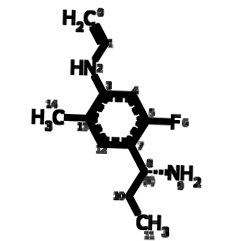 C=CNc1cc(F)c([C@H](N)CC)cc1C